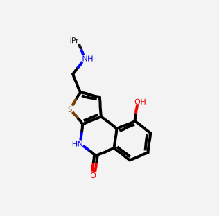 CC(C)NCc1cc2c([nH]c(=O)c3cccc(O)c32)s1